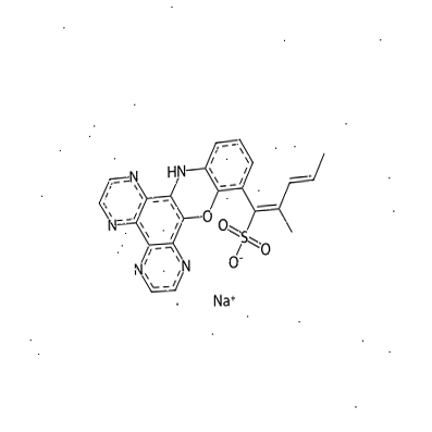 CC=CC(C)=C(c1cccc2c1Oc1c(c3nccnc3c3nccnc13)N2)S(=O)(=O)[O-].[Na+]